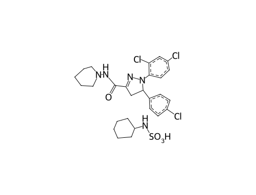 O=C(NN1CCCCC1)C1=NN(c2ccc(Cl)cc2Cl)C(c2ccc(Cl)cc2)C1.O=S(=O)(O)NC1CCCCC1